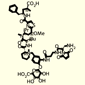 CC[C@H](C)[C@H](NC(=O)[C@H]1CCCC[N+]1(C)Cc1ccc(O[C@@H]2O[C@H](C(=O)O)[C@@H](O)[C@@H](O)[C@@H]2O)c(NC(=O)CCNC(=O)[C@H](CN)N2C(=O)C=CC2=O)c1)C(=O)N(C)[C@H](C[C@@H](OC)c1nc(C(=O)N[C@@H](Cc2ccccc2)C[C@H](C)C(=O)O)cs1)C(C)C